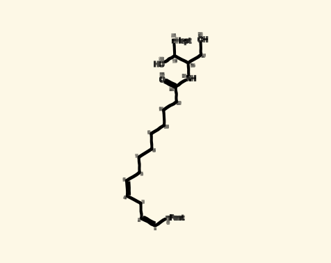 CCCCC/C=C\C/C=C\CCCCCCCC(=O)NC(CO)C(O)CCCCCCC